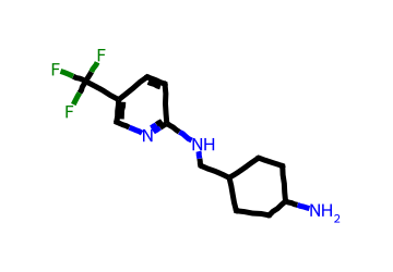 NC1CCC(CNc2ccc(C(F)(F)F)cn2)CC1